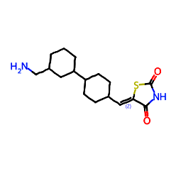 NCC1CCCC(C2CCC(/C=C3\SC(=O)NC3=O)CC2)C1